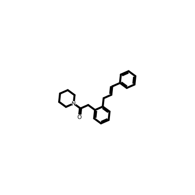 O=C(Cc1ccccc1C/C=C/c1ccccc1)N1CCCCC1